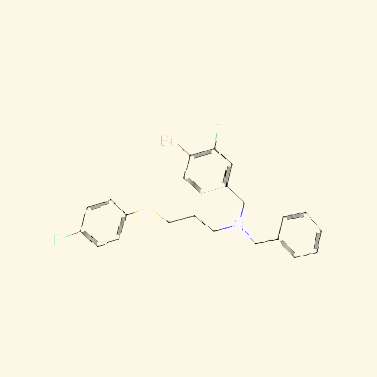 Fc1ccc(SCCCN(Cc2ccccc2)Cc2ccc(Br)c(F)c2)cc1